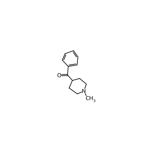 CN1CCC(C(=O)c2ccccc2)CC1